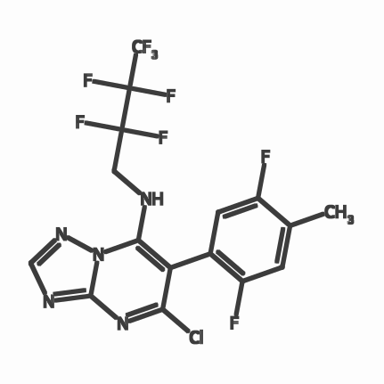 Cc1cc(F)c(-c2c(Cl)nc3ncnn3c2NCC(F)(F)C(F)(F)C(F)(F)F)cc1F